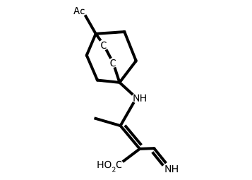 CC(=O)C12CCC(N/C(C)=C(\C=N)C(=O)O)(CC1)CC2